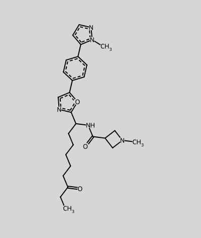 CCC(=O)CCCCCC(NC(=O)C1CN(C)C1)c1ncc(-c2ccc(-c3ccnn3C)cc2)o1